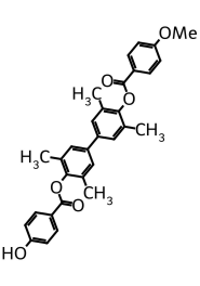 COc1ccc(C(=O)Oc2c(C)cc(-c3cc(C)c(OC(=O)c4ccc(O)cc4)c(C)c3)cc2C)cc1